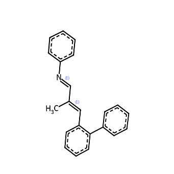 CC(/C=N/c1ccccc1)=C\c1ccccc1-c1ccccc1